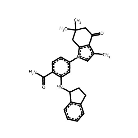 Cc1cn(-c2ccc(C(N)=O)c(NC3CCc4ccccc43)c2)c2c1C(=O)CC(C)(C)C2